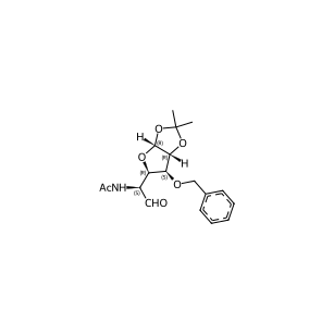 CC(=O)N[C@H](C=O)[C@H]1O[C@@H]2OC(C)(C)O[C@@H]2[C@H]1OCc1ccccc1